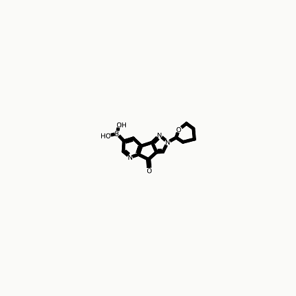 O=C1c2cn(C3CCCCO3)nc2-c2cc(B(O)O)cnc21